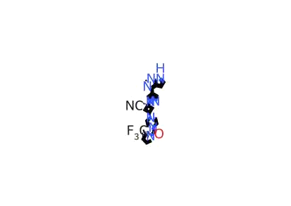 N#CC[C@]1(n2cc(-c3ncnc4[nH]ccc34)cn2)C[C@@H](N2CCN(C(=O)N3CCC[C@H]3C(F)(F)F)CC2)C1